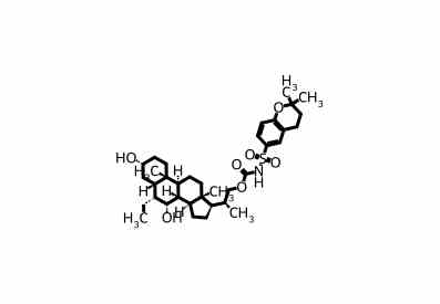 CC[C@H]1[C@@H](O)[C@@H]2[C@H](CC[C@]3(C)[C@@H]([C@H](C)COC(=O)NS(=O)(=O)c4ccc5c(c4)CCC(C)(C)O5)CC[C@@H]23)[C@@]2(C)CC[C@@H](O)C[C@@H]12